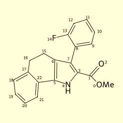 COC(=O)c1[nH]c2c(c1-c1ccccc1F)CCc1ccccc1-2